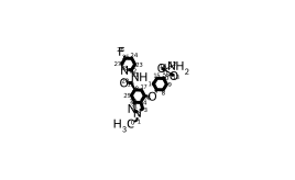 CCn1cc2c(Oc3ccc(S(N)(=O)=O)cc3)cc(C(=O)Nc3ccc(F)cn3)cc2n1